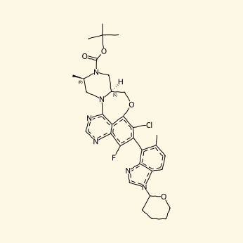 Cc1ccc2c(ncn2C2CCCCO2)c1-c1c(Cl)c2c3c(ncnc3c1F)N1C[C@@H](C)N(C(=O)OC(C)(C)C)C[C@H]1CO2